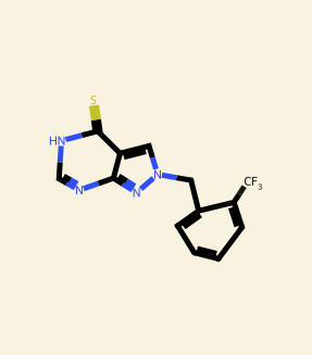 FC(F)(F)c1ccccc1Cn1cc2c(=S)[nH]cnc2n1